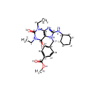 CCn1c(=O)c2c(nc(NC3CCCCC3)n2Cc2ccc(C(=O)OC)cc2)n(CC)c1=O